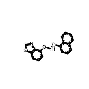 B(Oc1cccc2ccccc12)Oc1cccc2scnc12